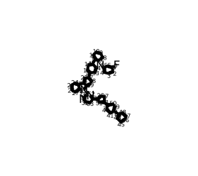 Fc1cccc(-n2c3ccccc3c3ccc(-c4ccc5c(c4)c4ccccc4n5-c4nccc(C5=CCC(c6ccc(-c7ccccc7)cc6)=C5)n4)cc32)c1